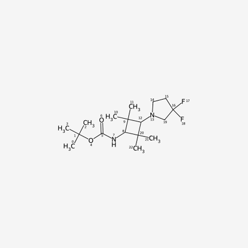 CC(C)(C)OC(=O)NC1C(C)(C)C(N2CCC(F)(F)C2)C1(C)C